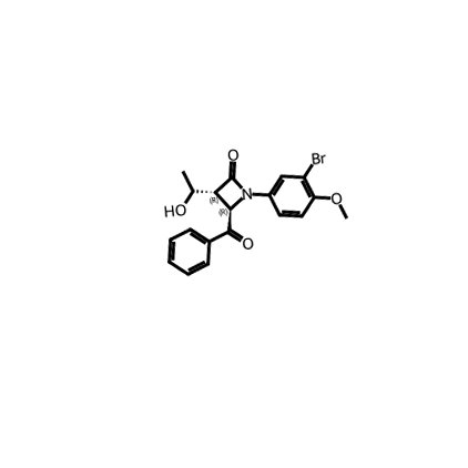 COc1ccc(N2C(=O)[C@@H](C(C)O)[C@@H]2C(=O)c2ccccc2)cc1Br